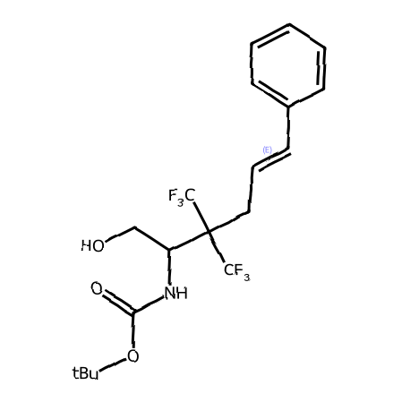 CC(C)(C)OC(=O)NC(CO)C(C/C=C/c1ccccc1)(C(F)(F)F)C(F)(F)F